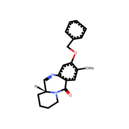 COc1cc2c(cc1OCc1ccccc1)N=C[C@H]1CCCCN1C2=O